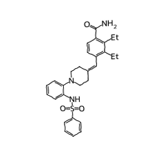 CCc1c(C=C2CCN(c3ccccc3NS(=O)(=O)c3ccccc3)CC2)ccc(C(N)=O)c1CC